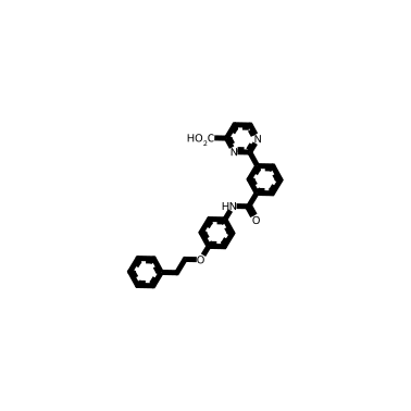 O=C(Nc1ccc(OCCc2ccccc2)cc1)c1cccc(-c2nccc(C(=O)O)n2)c1